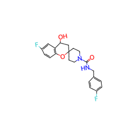 O=C(NCc1ccc(F)cc1)N1CCC2(CC1)CC(O)c1cc(F)ccc1O2